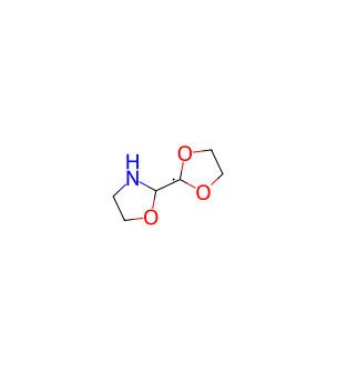 C1COC([C]2OCCO2)N1